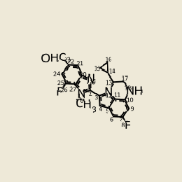 Cn1c(-c2cc3cc(F)cc4c3n2C(C2CC2)CN4)nc2cc(C=O)cc(F)c21